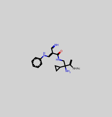 C=C(NC(C)=O)C(N)(CNC(=O)/C(C=N)=C/Nc1ccccc1)C1CC1